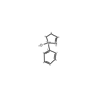 [O-][N+]1(c2ccccc2)CCC=N1